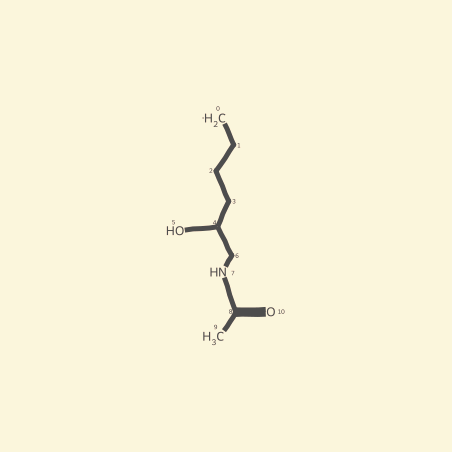 [CH2]CCCC(O)CNC(C)=O